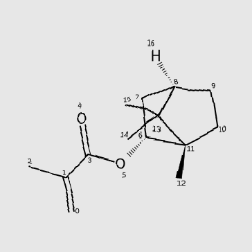 C=C(C)C(=O)O[C@@H]1C[C@H]2CC[C@@]1(C)C2(C)C